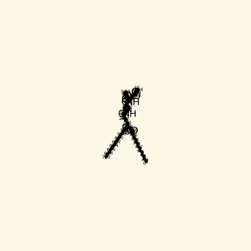 CCCCCCCCCCCCCCCC(=O)OC[C@H](CSC[C@H](C)C(=O)Nc1ccc(C(=O)NC(CCC(=O)OC(C)(C)C)C(=O)OC(C)(C)C)cc1)OC(=O)CCCCCCCCCCCCCCC